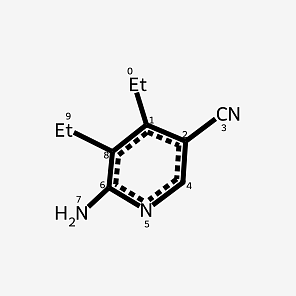 CCc1c(C#N)cnc(N)c1CC